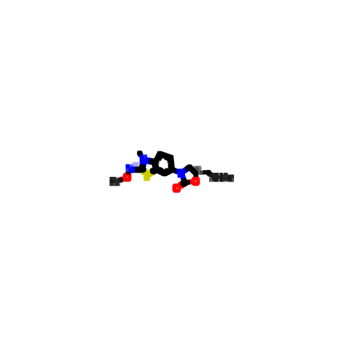 CCO/N=c1\sc2cc(N3C[C@H](CNC(C)=O)OC3=O)ccc2n1C